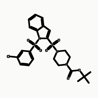 CC(C)(C)OC(=O)N1CCN(S(=O)(=O)c2cc3ccccc3n2S(=O)(=O)c2cccc(Cl)c2)CC1